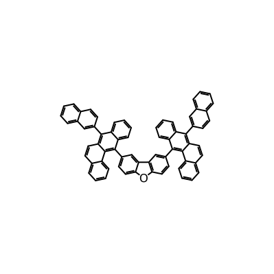 c1ccc2cc(-c3c4ccccc4c(-c4ccc5oc6ccc(-c7c8ccccc8c(-c8ccc9ccccc9c8)c8ccc9ccccc9c78)cc6c5c4)c4c3ccc3ccccc34)ccc2c1